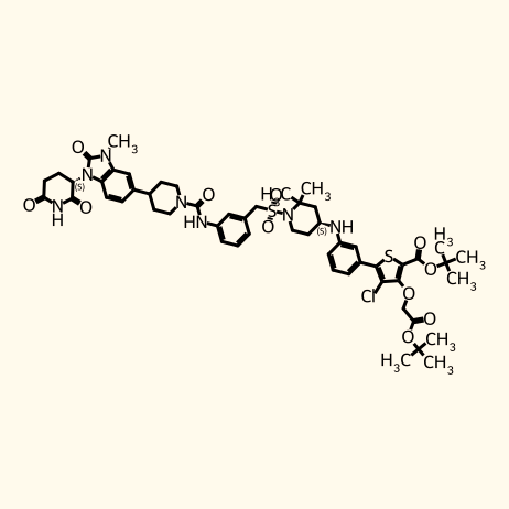 Cn1c(=O)n([C@H]2CCC(=O)NC2=O)c2ccc(C3CCN(C(=O)Nc4cccc(CS(=O)(=O)N5CC[C@H](Nc6cccc(-c7sc(C(=O)OC(C)(C)C)c(OCC(=O)OC(C)(C)C)c7Cl)c6)CC5(C)C)c4)CC3)cc21